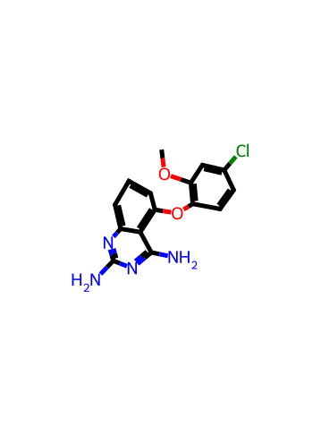 COc1cc(Cl)ccc1Oc1cccc2nc(N)nc(N)c12